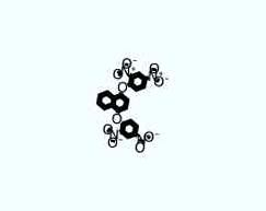 O=[N+]([O-])c1ccc(Oc2ccc(Oc3ccc([N+](=O)[O-])cc3[N+](=O)[O-])c3ccccc23)c([N+](=O)[O-])c1